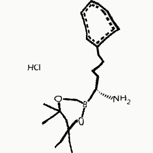 CC1(C)OB([C@@H](N)CCc2ccccc2)OC1(C)C.Cl